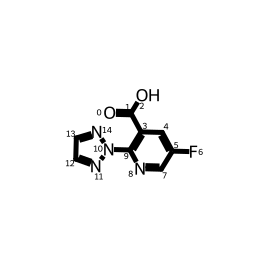 O=C(O)c1cc(F)cnc1-n1nccn1